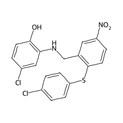 O=[N+]([O-])c1ccc(Sc2ccc(Cl)cc2)c(CNc2cc(Cl)ccc2O)c1